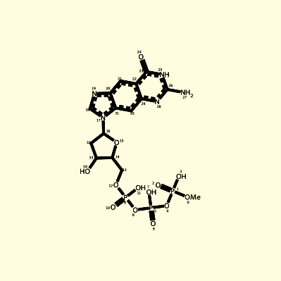 COP(=O)(O)OP(=O)(O)OP(=O)(O)OCC1OC(n2cnc3cc4c(=O)[nH]c(N)nc4cc32)CC1O